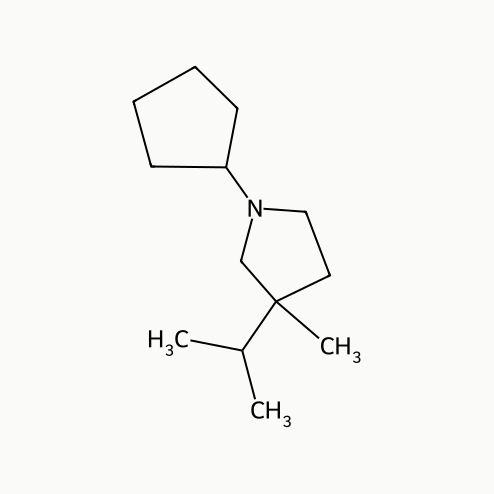 CC(C)C1(C)CCN(C2CCCC2)C1